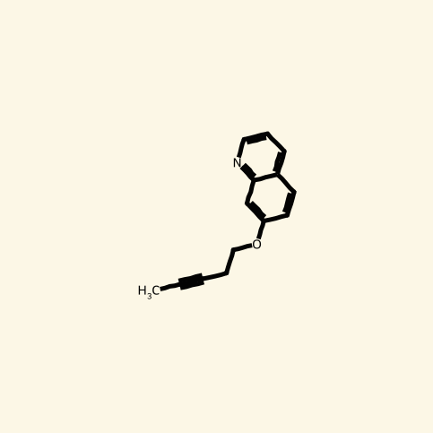 CC#CCCOc1ccc2cccnc2c1